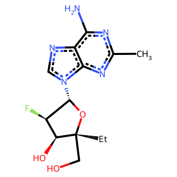 CC[C@]1(CO)O[C@@H](n2cnc3c(N)nc(C)nc32)[C@H](F)[C@@H]1O